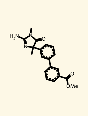 COC(=O)c1cccc(-c2cccc(C3(C)N=C(N)N(C)C3=O)c2)c1